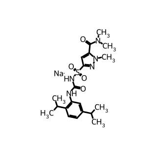 CC(C)c1ccc(C(C)C)c(NC(=O)NS(=O)(=O)c2cc(C(=O)N(C)C)n(C)n2)c1.[Na]